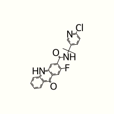 CC(C)(NC(=O)c1cc2[nH]c3ccccc3c(=O)c2cc1F)c1ccc(Cl)nc1